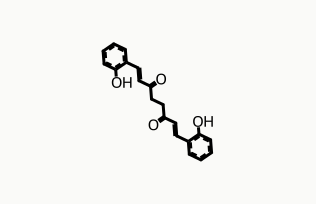 O=C(/C=C/c1ccccc1O)CCC(=O)/C=C/c1ccccc1O